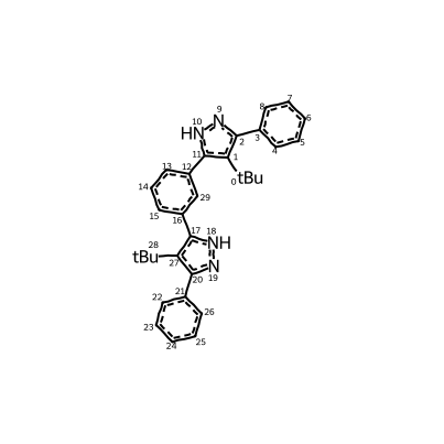 CC(C)(C)c1c(-c2ccccc2)n[nH]c1-c1cccc(-c2[nH]nc(-c3ccccc3)c2C(C)(C)C)c1